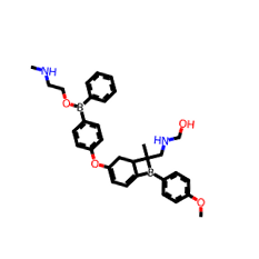 CNCCOB(c1ccccc1)c1ccc(OC2=CC=C3B(c4ccc(OC)cc4)C(C)(CNCO)C3C2)cc1